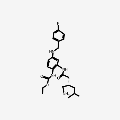 CCOC(=O)Nc1ccc(NCc2ccc(F)cc2)cc1NC(=O)C[C@@H](CN)CC(C)C